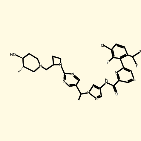 CC(c1cnc(N2CCC2CN2CC[C@H](O)[C@@H](C)C2)nc1)n1cc(NC(=O)c2cncc(-c3c(C(F)F)ccc(Cl)c3F)n2)cn1